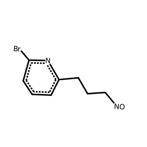 O=NCCCc1cccc(Br)n1